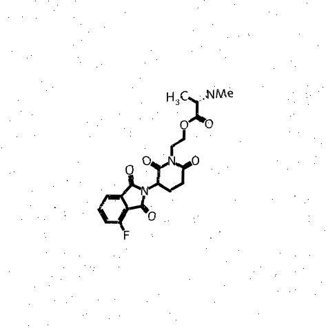 CN[C@@H](C)C(=O)OCCN1C(=O)CCC(N2C(=O)c3cccc(F)c3C2=O)C1=O